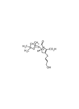 C[C@H](O[Si](C)(C)C)[C@@H]1C(=O)N2C(C(=O)O)=C(SC=CCO)C[C@H]12